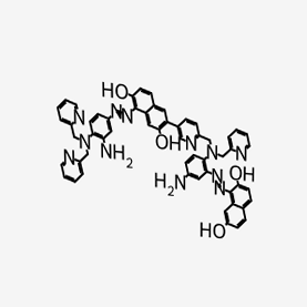 Nc1ccc(N(Cc2ccccn2)Cc2ccc(-c3cc4ccc(O)c(/N=N/c5ccc(N(Cc6ccccn6)Cc6ccccn6)c(N)c5)c4cc3O)cn2)c(/N=N/c2c(O)ccc3ccc(O)cc23)c1